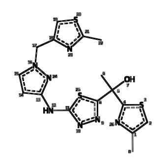 Cc1csc(C(C)(O)c2nnc(Nc3ccn(Cc4csc(C)n4)n3)s2)n1